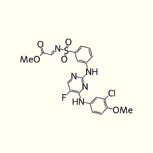 COC(=O)C=NS(=O)(=O)c1cccc(Nc2ncc(F)c(Nc3ccc(OC)c(Cl)c3)n2)c1